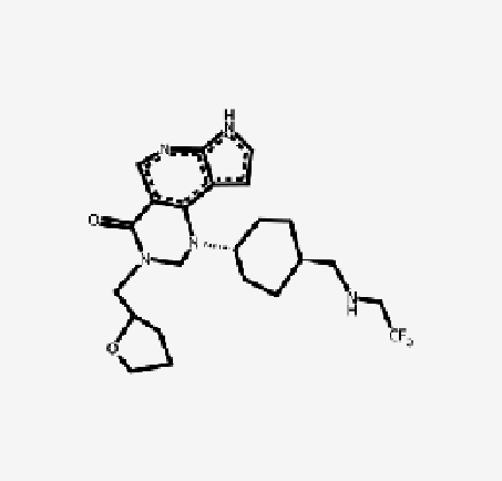 O=C1c2cnc3[nH]ccc3c2N([C@H]2CC[C@H](CNCC(F)(F)F)CC2)CN1CC1CCCO1